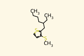 CCCCC(CC)Cc1sccc1SC